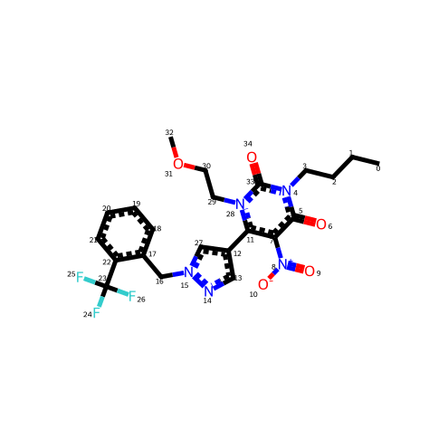 CCCCn1c(=O)c([N+](=O)[O-])c(-c2cnn(Cc3ccccc3C(F)(F)F)c2)n(CCOC)c1=O